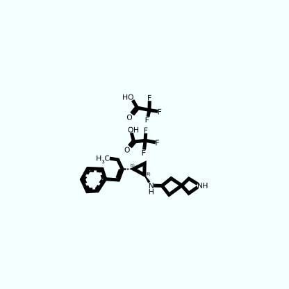 CCC(=Cc1ccccc1)[C@@H]1C[C@H]1NC1CC2(CNC2)C1.O=C(O)C(F)(F)F.O=C(O)C(F)(F)F